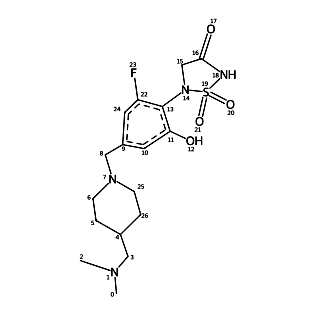 CN(C)CC1CCN(Cc2cc(O)c(N3CC(=O)NS3(=O)=O)c(F)c2)CC1